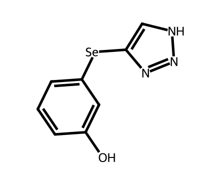 Oc1cccc([Se]c2c[nH]nn2)c1